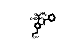 CCCCCCCCCCCCc1ccc2c(c1)N=C(c1ccccc1)OC2(C=O)C(N)=O